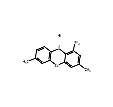 Cc1ccc2c(c1)[Se]c1cc(C)cc(N)c1N2.I